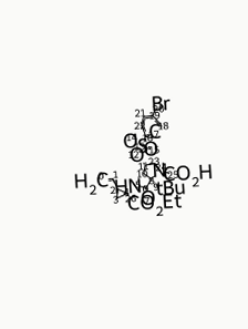 C=C[C@@H]1C[C@]1(NC(=O)[C@@]1(C(C)(C)C)C[C@H](OS(=O)(=O)c2ccc(Br)cc2)CN1C(=O)O)C(=O)OCC